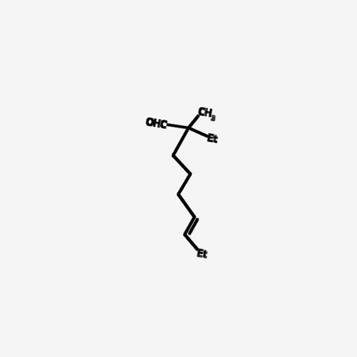 CC/C=C/CCCC(C)(C=O)CC